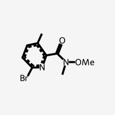 CON(C)C(=O)c1nc(Br)ccc1C